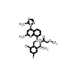 Cc1cc(-n2ncnc2C)c2cccc(OCc3c(Cl)cc(F)cc3[C@H](C)NC(=O)COC(F)(F)F)c2n1